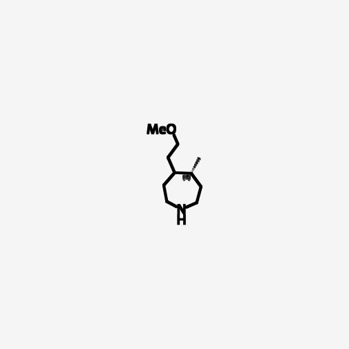 COCCC1CCNCC[C@H]1C